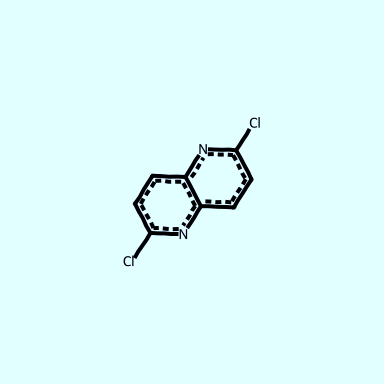 Clc1ccc2nc(Cl)ccc2n1